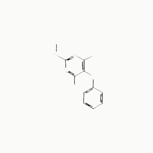 CNc1nc(Cl)c(Sc2ccccc2)c(Cl)n1